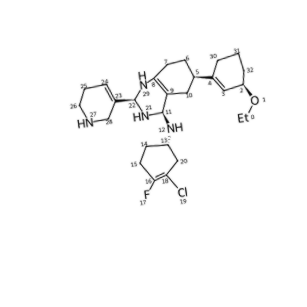 CCO[C@H]1C=C([C@@H]2CCC3=C(C2)[C@@H](N[C@H]2CCC(F)=C(Cl)C2)N[C@@H](C2=CCCNC2)N3)CCC1